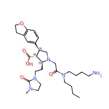 CCCCN(CCCCN)C(=O)CN1C[C@H](c2ccc3c(c2)CCO3)[C@@H](C(=O)O)[C@@H]1CCN1CCN(C)C1=O